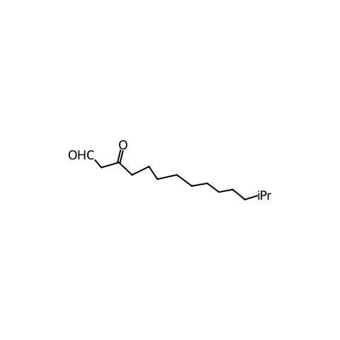 CC(C)CCCCCCCCCC(=O)CC=O